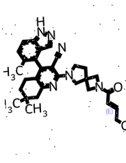 Cc1ccc2[nH]ncc2c1-c1c(C#N)c(N2CCC3(CN(C(=O)/C=C/CO)C3)C2)nc2c1CCC(C)(C)C2